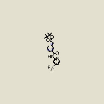 C\C=C/C(=C\C=C\B1OC(C)(C)C(C)(C)O1)C(=O)Nc1cc(C(F)(F)F)ccn1